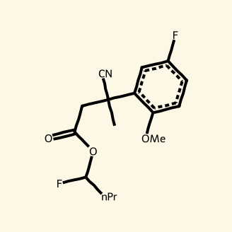 CCCC(F)OC(=O)CC(C)(C#N)c1cc(F)ccc1OC